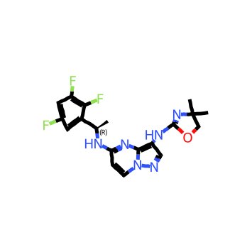 C[C@@H](Nc1ccn2ncc(NC3=NC(C)(C)CO3)c2n1)c1cc(F)cc(F)c1F